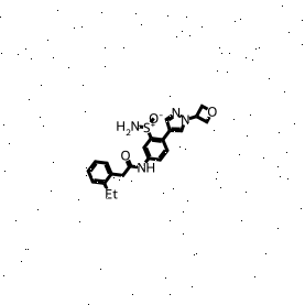 CCc1ccccc1CC(=O)Nc1ccc(-c2cnn(C3COC3)c2)c([S+](N)[O-])c1